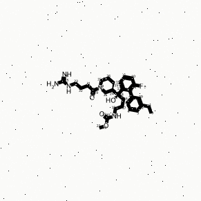 CCc1cccc(-c2c(F)cccc2[C@](O)(CCCNC(=O)OC)[C@@H]2CCCN(C(=O)CCCNC(=N)N)C2)c1